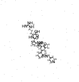 N=C(N)NCCC[C@H](NC(=O)c1sccc1NS(=O)(=O)c1cc(-c2ccccc2CNCc2ccncc2)cc2c1OCC2)C(=O)O